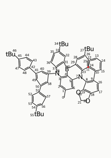 Cc1cc2c3c(c1)N(c1c(-c4ccccc4)ccc4c1OCO4)c1ccc(C(C)(C)C)cc1B3c1cc(C(C)(C)C)ccc1N2c1cc(-c2ccc(C(C)(C)C)cc2)cc(-c2ccc(C(C)(C)C)cc2)c1